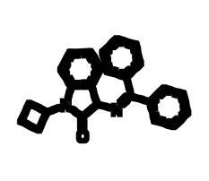 O=C1C(N=C(c2ccccc2)c2ccccc2)c2ccccc2N1C1CCC1